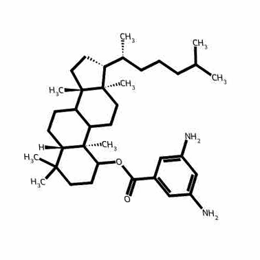 CC(C)CCC[C@@H](C)[C@H]1CC[C@@]2(C)C3CC[C@H]4C(C)(C)CCC(OC(=O)c5cc(N)cc(N)c5)[C@]4(C)C3CC[C@]12C